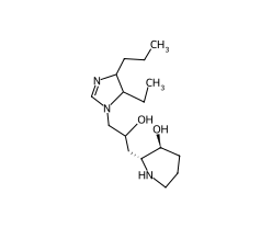 CCCC1N=CN(CC(O)C[C@H]2NCCC[C@@H]2O)C1CC